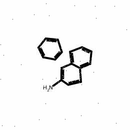 Nc1ccc2ccccc2c1.c1ccccc1